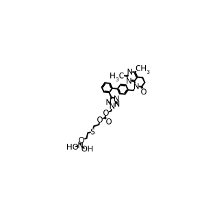 Cc1nc(C)c2c(n1)N(Cc1ccc(-c3ccccc3-c3nnn(COC(=O)OCCSCCON(O)O)n3)cc1)C(=O)CC2